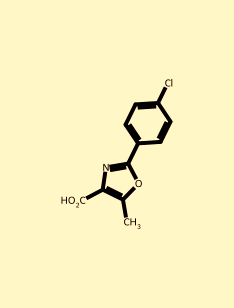 Cc1oc(-c2ccc(Cl)cc2)nc1C(=O)O